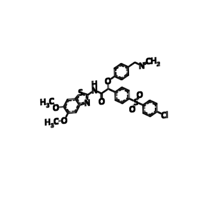 C=NCc1ccc(OC(C(=O)Nc2nc3cc(OC)c(OC)cc3s2)c2ccc(S(=O)(=O)c3ccc(Cl)cc3)cc2)cc1